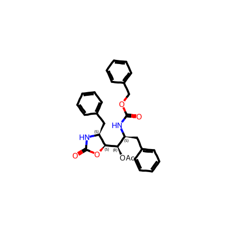 CC(=O)O[C@@H]([C@H]1OC(=O)N[C@H]1Cc1ccccc1)[C@H](Cc1ccccc1)NC(=O)OCc1ccccc1